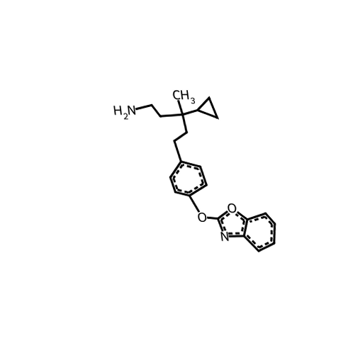 CC(CCN)(CCc1ccc(Oc2nc3ccccc3o2)cc1)C1CC1